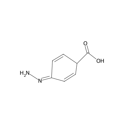 NN=C1C=CC(C(=O)O)C=C1